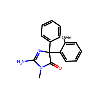 COc1ccccc1C1(c2ccccc2)N=C(N)N(C)C1=O